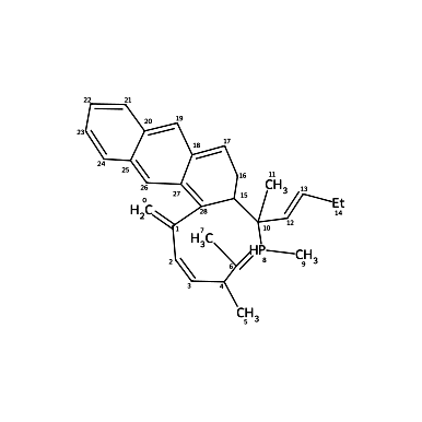 C=C1/C=C\C(C)/C(C)=[PH](\C)C(C)(C=CCC)C2CC=c3cc4ccccc4cc3=C12